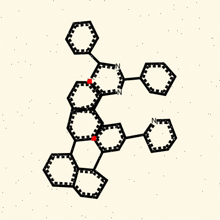 c1ccc(-c2nc(-c3ccccc3)nc(-c3ccc(-c4cccc5cccc(-c6cc(-c7ccccn7)cc(-c7ccccn7)c6)c45)cc3)n2)cc1